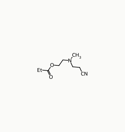 CCC(=O)OCCN(C)CCC#N